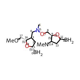 B[C@H]1CC(CN(C)OC[C@H]2O[C@@H](B)CC2NC)[C@@H](COC)O1